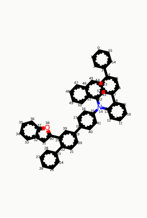 c1ccc(-c2ccc(-c3ccccc3N(c3ccc(-c4ccc(-c5ccccc5)c(-c5cc6ccccc6o5)c4)cc3)c3cccc4ccccc34)cc2)cc1